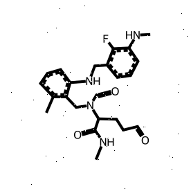 CNC(=O)C(CCC=O)N(C=O)Cc1c(C)cccc1NCc1cccc(NC)c1F